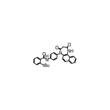 CC(C)(C)c1ccccc1C(=O)Nc1ccc(N2C(=O)CC(=O)Nc3c2ccc2ccccc32)cc1